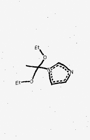 CCOC(C)(OCC)n1ccnc1